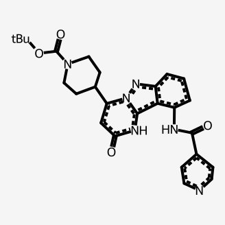 CC(C)(C)OC(=O)N1CCC(c2cc(=O)[nH]c3c4c(NC(=O)c5ccncc5)cccc4nn23)CC1